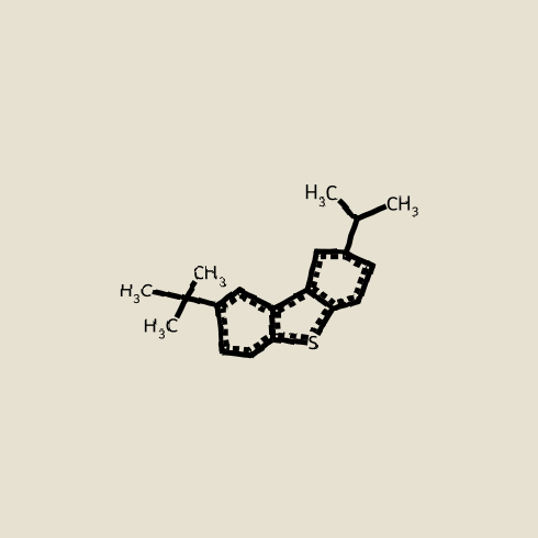 CC(C)c1ccc2sc3ccc(C(C)(C)C)cc3c2c1